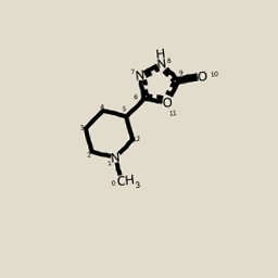 CN1CCCC(c2n[nH]c(=O)o2)C1